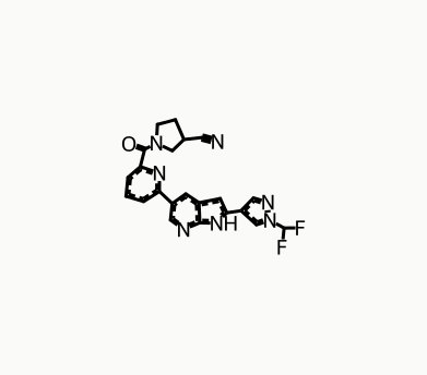 N#CC1CCN(C(=O)c2cccc(-c3cnc4[nH]c(-c5cnn(C(F)F)c5)cc4c3)n2)C1